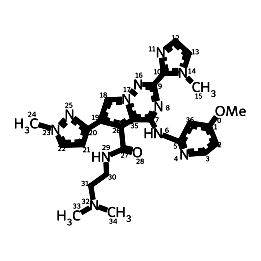 COc1ccnc(Nc2nc(-c3nccn3C)nn3cc(-c4ccn(C)n4)c(C(=O)NCCN(C)C)c23)c1